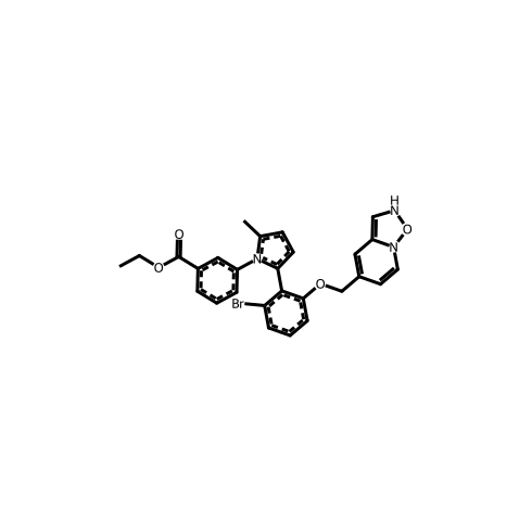 CCOC(=O)c1cccc(-n2c(C)ccc2-c2c(Br)cccc2OCC2=CC3=CNON3C=C2)c1